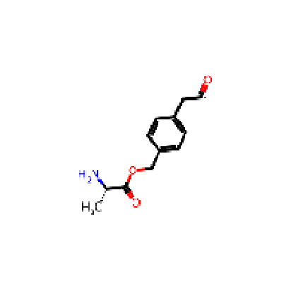 C[C@H](N)C(=O)OCc1ccc(C[C]=O)cc1